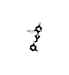 O=C(O)c1cc(Cl)cnc1N1CC(COc2cccc(F)c2)C1